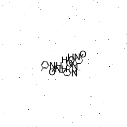 Cc1cccc(NC(=O)NCc2ccc3nc(C)n(C4CCC(=O)NC4O)c(=O)c3c2)c1